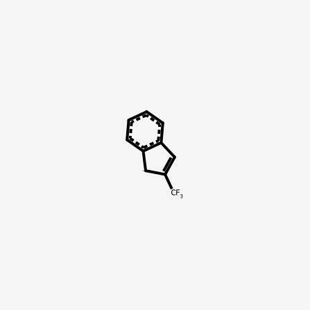 FC(F)(F)C1=Cc2ccccc2[CH]1